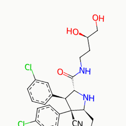 CC(C)(C)C[C@@H]1N[C@@H](C(=O)NCC[C@@H](O)CO)[C@H](c2cccc(Cl)c2)[C@@]1(C#N)c1ccc(Cl)cc1